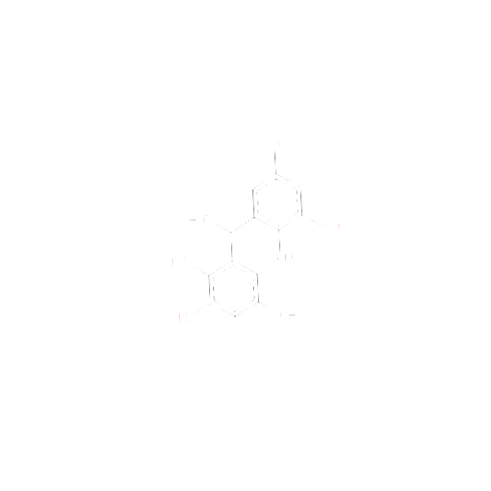 Cc1cc(O)c(C)c(C(C)c2cc(C)cc(O)c2C)c1